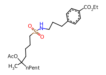 CCCCCC(C)(CCCCS(=O)(=O)NCCCc1ccc(C(=O)OCC)cc1)OC(C)=O